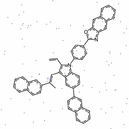 C=Cc1c(/C=C(\C)c2ccc3ccccc3c2)c2cc(-c3ccc4ccccc4c3)ccc2n1-c1ccc(-c2nc3cc4ccccc4cc3o2)cc1